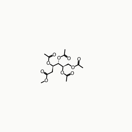 COC(=O)C[C@@H](OC(C)=O)[C@H](OC(C)=O)[C@@H](COC(C)=O)OC(C)=O